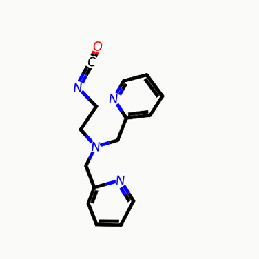 O=C=NCCN(Cc1ccccn1)Cc1ccccn1